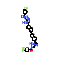 O=C(NCc1ncc(-c2ccc3cc(-c4ccc5cc(-c6cnc(CNC(=O)C7CCC(F)(F)CC7)[nH]6)ccc5c4)ccc3c2)[nH]1)C1CCC(F)(F)CC1